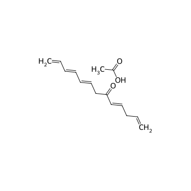 C=CC=CC=CCC(=O)C=CCC=C.CC(=O)O